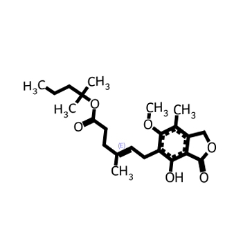 CCCC(C)(C)OC(=O)CC/C(C)=C/Cc1c(O)c2c(c(C)c1OC)COC2=O